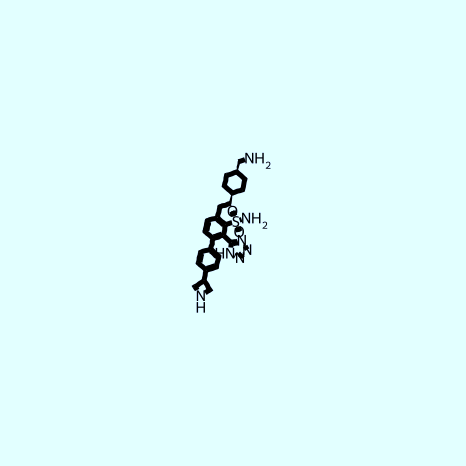 NC[C@H]1CC[C@@H](CCc2ccc(-c3ccc(C4CNC4)cc3)c(-c3nnn[nH]3)c2S(N)(=O)=O)CC1